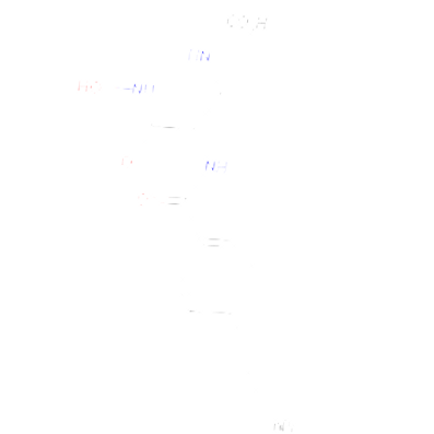 CCCC#Cc1ccc(C(=O)NC(CNC(=O)O)C(=O)NO)cc1